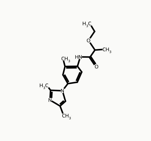 CCOC(C)C(=O)Nc1ccc(-n2cc(C)nc2C)cc1C